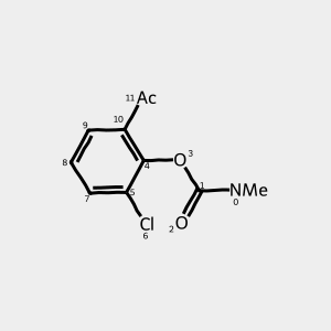 CNC(=O)Oc1c(Cl)cccc1C(C)=O